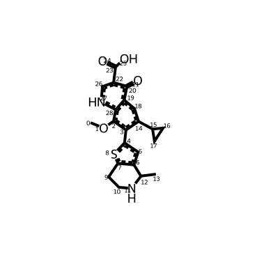 COc1c(-c2cc3c(s2)CCNC3C)c(C2CC2)cc2c(=O)c(C(=O)O)c[nH]c12